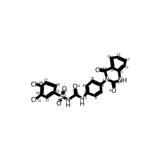 O=C(Nc1ccc(-n2c(=O)[nH]c3ccccc3c2=O)cc1)NS(=O)(=O)c1ccc(Cl)c(Cl)c1